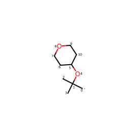 [CH2]C(C)(C)OC1CCOCC1